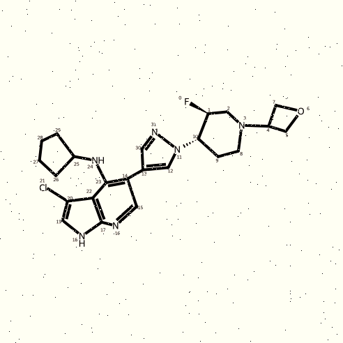 F[C@H]1CN(C2COC2)CC[C@@H]1n1cc(-c2cnc3[nH]cc(Cl)c3c2NC2CCCC2)cn1